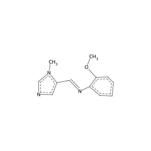 COc1ccccc1N=Cc1cncn1C